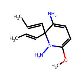 CC=CC1(C=CC)C(N)=CC=C(OC)N1N